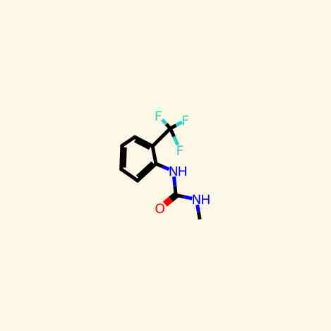 CNC(=O)Nc1ccccc1C(F)(F)F